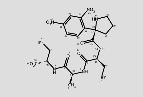 CC(C)C[C@H](NC(=O)[C@H](C)NC(=O)[C@H](CC(C)C)NC(=O)[C@]1(c2ccc([N+](=O)[O-])cc2[N+](=O)[O-])CCCN1)C(=O)O